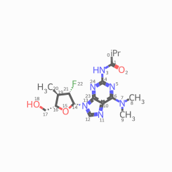 CC(C)C(=O)Nc1nc(N(C)C)c2ncn([C@@H]3O[C@H](CO)[C@@H](C)[C@@H]3F)c2n1